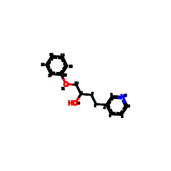 OC(CCc1cccnc1)COc1ccccc1